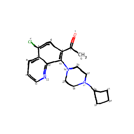 CC(=O)c1cc(Cl)c2cccnc2c1N1CCN(C2CCC2)CC1